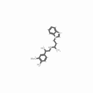 COc1cc(C(O)CNC(C)CCn2cnc3ccccc32)ccc1O